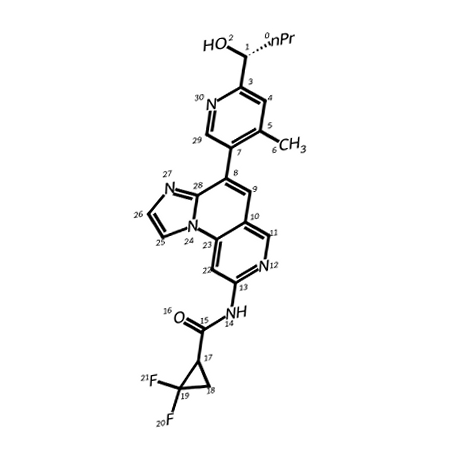 CCC[C@@H](O)c1cc(C)c(-c2cc3cnc(NC(=O)C4CC4(F)F)cc3n3ccnc23)cn1